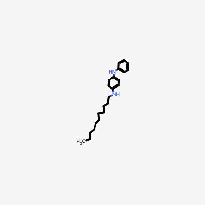 CCCCCCCCCCCNc1ccc(Nc2ccccc2)cc1